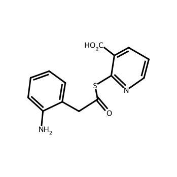 Nc1ccccc1CC(=O)Sc1ncccc1C(=O)O